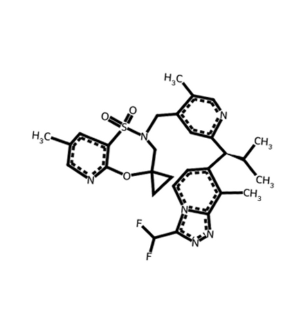 Cc1cnc2c(c1)S(=O)(=O)N(Cc1cc([C@H](c3ccn4c(C(F)F)nnc4c3C)C(C)C)ncc1C)CC1(CC1)O2